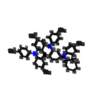 CC(C)(C)c1ccc(N2c3ccc(C(C)(C)C)cc3B3c4ccc(N5c6ccc(C(C)(C)C)cc6C6(C)CCCCCC56C)cc4N(c4ccc(C(C)(C)C)cc4)c4cc(C(C)(C)C)cc2c43)cc1